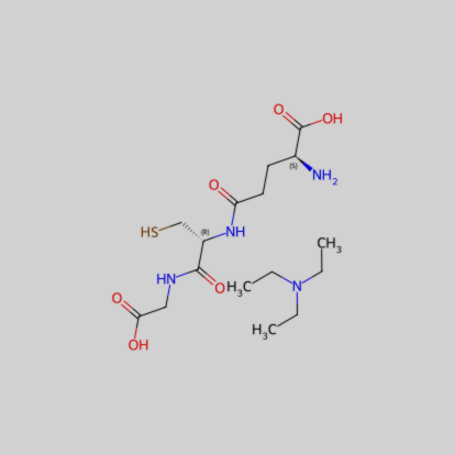 CCN(CC)CC.N[C@@H](CCC(=O)N[C@@H](CS)C(=O)NCC(=O)O)C(=O)O